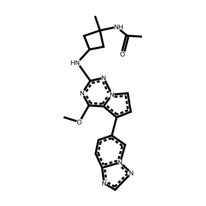 COc1nc(NC2CC(C)(NC(C)=O)C2)nn2ccc(-c3ccc4ncnn4c3)c12